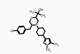 Cc1cc(C2CCC(N3CC(C(C)(C)O)OCC3Cc3ccc(Cl)cc3)CC2)nn1C